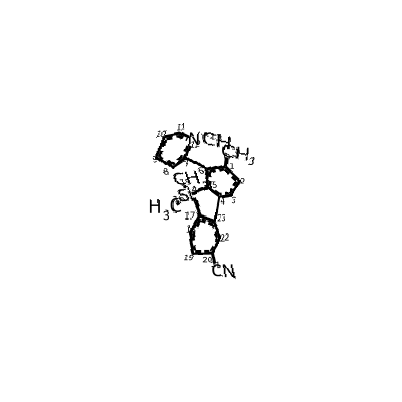 Cc1ccc2c(c1-c1cccc[n+]1C)[Si](C)(C)c1ccc(C#N)cc1-2